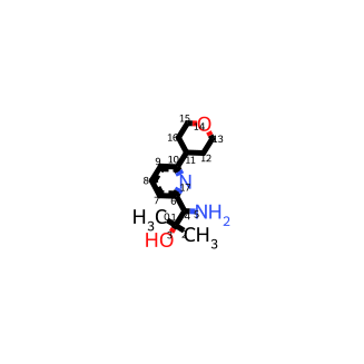 CC(C)(O)C(N)c1cccc(C2CCOCC2)n1